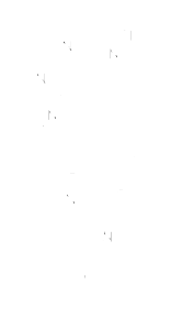 Cc1ccnc(Oc2c(F)cc(-c3cn(C)c4ncnc(N)c34)cc2F)n1